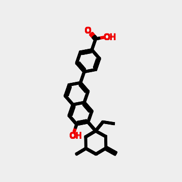 C=C1CC(C)CC(CC)(c2cc3cc(-c4ccc(C(=O)O)cc4)ccc3cc2O)C1